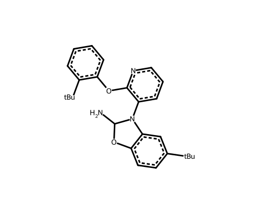 CC(C)(C)c1ccc2c(c1)N(c1cccnc1Oc1ccccc1C(C)(C)C)C(N)O2